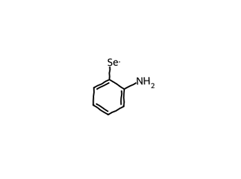 Nc1ccccc1[Se]